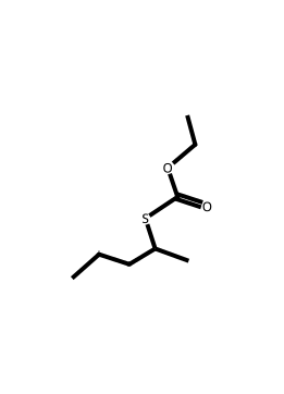 C[CH]CC(C)SC(=O)OCC